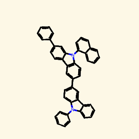 c1ccc(-c2ccc3c4cc(-c5ccc6c(c5)c5ccccc5n6-c5ccccc5)ccc4n(-c4cccc5ccccc45)c3c2)cc1